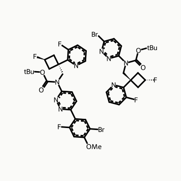 CC(C)(C)OC(=O)N(C[C@]1(c2ncccc2F)C[C@@H](F)C1)c1ccc(Br)nn1.COc1cc(F)c(-c2ccc(N(C[C@]3(c4ncccc4F)C[C@@H](F)C3)C(=O)OC(C)(C)C)nn2)cc1Br